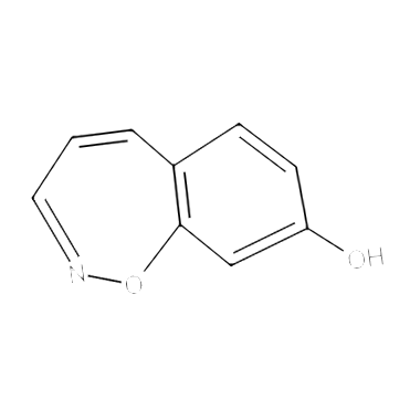 Oc1ccc2c(c1)ON=CC=C2